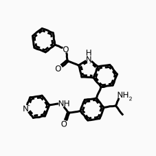 CC(N)c1ccc(C(=O)Nc2ccncc2)cc1-c1cccc2[nH]c(C(=O)Oc3ccccc3)cc12